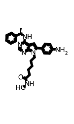 C[C@@H](Nc1ncnc2c1cc(-c1ccc(N)cc1)n2CCCCCC(=O)NO)c1ccccc1